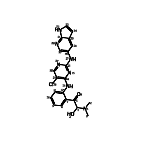 CN(C)C(O)C(=O)c1ccccc1Nc1nc(Nc2cnc3[nH]ccc3c2)ncc1Cl